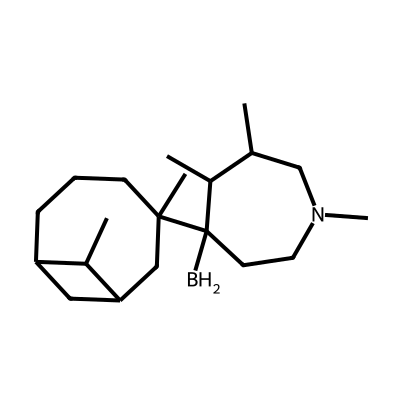 BC1(C2(C)CCCC3CC(C2)C3C)CCN(C)CC(C)C1C